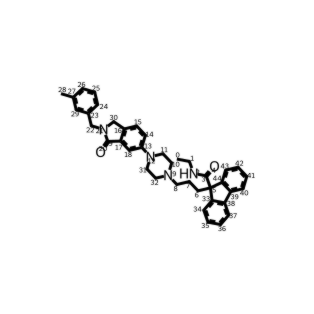 CCNC(=O)C1(CCCN2CCN(c3ccc4c(c3)C(=O)N(Cc3cccc(C)c3)C4)CC2)c2ccccc2-c2ccccc21